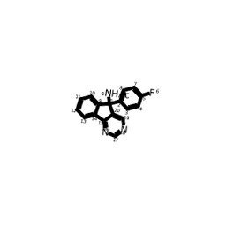 CC(=O)NC1(c2ccc(F)cc2)c2ccccc2-c2ncncc21